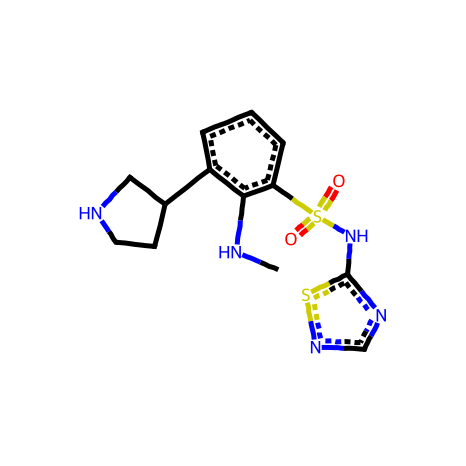 CNc1c(C2CCNC2)cccc1S(=O)(=O)Nc1ncns1